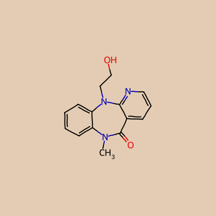 CN1C(=O)c2cccnc2N(CCO)c2ccccc21